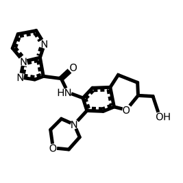 O=C(Nc1cc2c(cc1N1CCOCC1)OC(CO)CC2)c1cnn2cccnc12